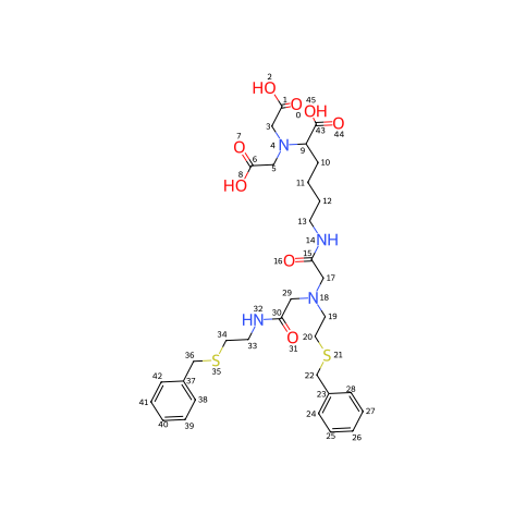 O=C(O)CN(CC(=O)O)C(CCCCNC(=O)CN(CCSCc1ccccc1)CC(=O)NCCSCc1ccccc1)C(=O)O